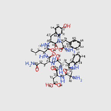 CC[C@H](C)[C@H](NC(=O)[C@H](CCC(N)=O)NC(=O)[C@H](Cc1c[nH]c2ccccc12)NC(=O)[C@H](CC(=O)O)NC(=O)C(C)(C)N)C(=O)N[C@@H](Cc1ccc(O)cc1)C(=O)N[C@@H](Cc1ccccc1)C(N)=O